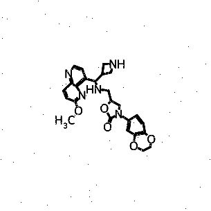 COc1ccc2nccc(C(NCC3CN(c4ccc5c(c4)OCCO5)C(=O)O3)C3CNC3)c2n1